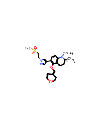 C[C@H]1CCc2c(ccc(-c3cnn(CCS(C)(=O)=O)c3)c2OCC2CCOCC2)N1C(=O)O